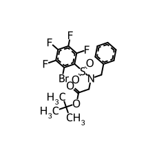 CC(C)(C)OC(=O)CN(Cc1ccccc1)S(=O)(=O)c1c(F)c(F)c(F)c(F)c1Br